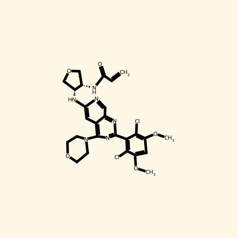 C=CC(=O)N[C@H]1COC[C@H]1Nc1cc2c(N3CCOCC3)nc(-c3c(Cl)c(OC)cc(OC)c3Cl)nc2cn1